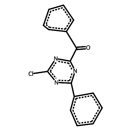 O=C(c1ccccc1)c1nc(Cl)nc(-c2ccccc2)n1